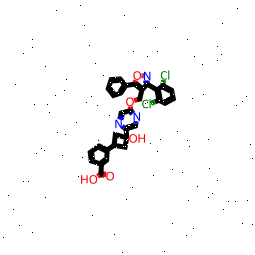 O=C(O)c1cccc(C2CC(O)(c3cnc(OCc4c(-c5c(Cl)cccc5Cl)noc4-c4ccccc4)cn3)C2)c1